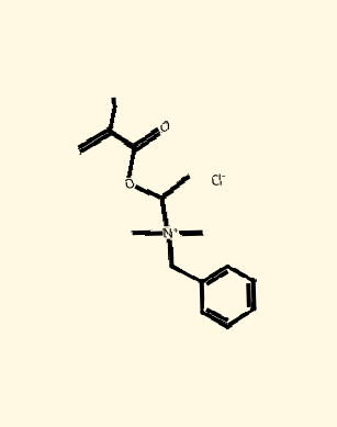 C=C(C)C(=O)OC(C)[N+](C)(C)Cc1ccccc1.[Cl-]